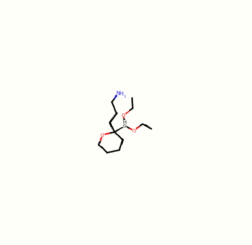 CCO[SiH](OCC)C1(CCCN)CCCCO1